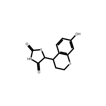 O=C1NC(=O)C(C2CCSc3cc(O)ccc32)S1